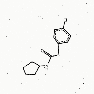 O=C(NC1CCCC1)Sc1ccc(Cl)cc1